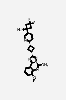 COc1cccc2c1nc(N)n1nc([C@H]3C[C@H](c4ccc(C5(N)CC(F)(F)C5)cn4)C3)nc21